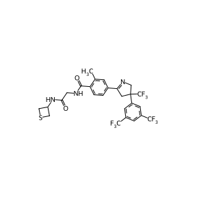 Cc1cc(C2=NCC(c3cc(C(F)(F)F)cc(C(F)(F)F)c3)(C(F)(F)F)C2)ccc1C(=O)NCC(=O)NC1CSC1